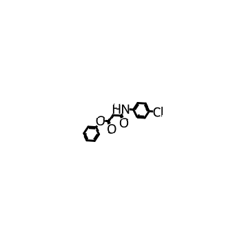 O=C(CC(=O)Oc1ccccc1)Nc1ccc(Cl)cc1